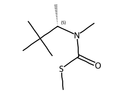 CSC(=O)N(C)[C@@H](C)C(C)(C)C